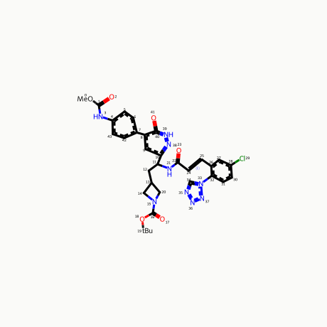 COC(=O)Nc1ccc(-c2cc(C(CC3CN(C(=O)OC(C)(C)C)C3)NC(=O)/C=C/c3cc(Cl)ccc3-n3cnnn3)n[nH]c2=O)cc1